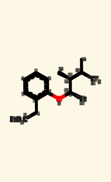 CCOC(=O)Cc1ccccc1O[C@H](CC)[C@@H](C)C(C)C(F)(F)F